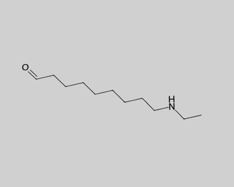 CCNCCCCCCCCC=O